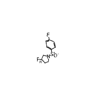 [O-][S+](c1ccc(F)cc1)N1CC[C@@H](F)C1